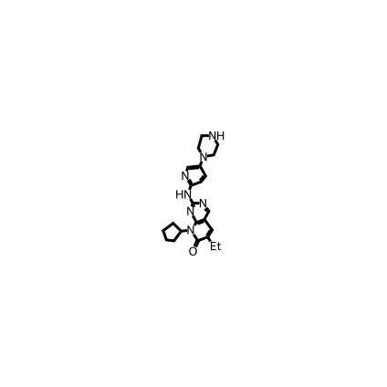 CCc1cc2cnc(Nc3ccc(N4CCNCC4)cn3)nc2n(C2CCCC2)c1=O